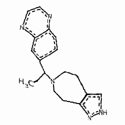 CC(c1ccc2nccnc2c1)N1CCc2c[nH]nc2CC1